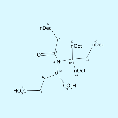 CCCCCCCCCCCC(=O)N([C@@H](CCC(=O)O)C(=O)O)C(CCCCCCCC)(CCCCCCCC)CCCCCCCCCCC